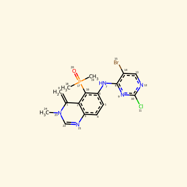 C=C1c2c(ccc(Nc3nc(Cl)ncc3Br)c2P(C)(C)=O)N=CN1C